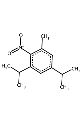 Cc1cc(C(C)C)cc(C(C)C)c1[N+](=O)[O-]